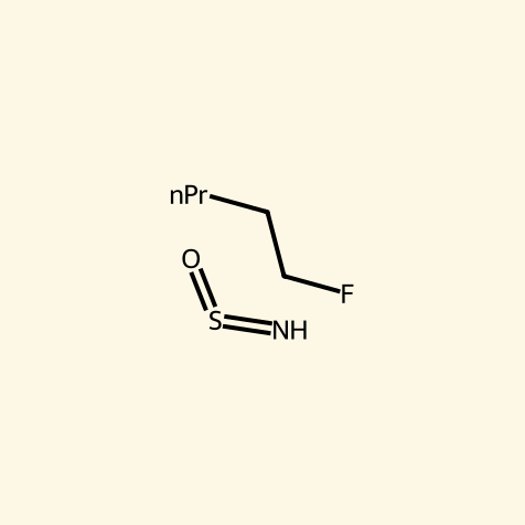 CCCCCF.N=S=O